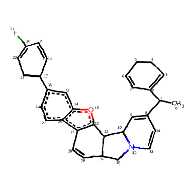 CC(C1=CCCC=C1)C1=CC2C3c4oc5cc(C6C=CC(F)=CC6)ccc5c4C=CC3CN2C=C1